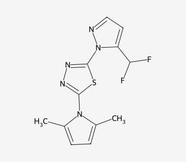 Cc1ccc(C)n1-c1nnc(-n2nccc2C(F)F)s1